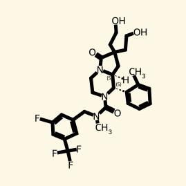 Cc1ccccc1[C@H]1[C@@H]2CC(CCO)(CCO)C(=O)N2CCN1C(=O)N(C)Cc1cc(F)cc(C(F)(F)F)c1